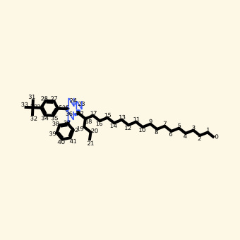 CCCCCCCCCCCCCCCCCCC(CCC)c1nnc(-c2ccc(C(C)(C)C)cc2)n1-c1ccccc1